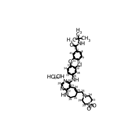 CC(C)(C)NC(=O)c1cccc(Oc2ccc(Nc3ncnc4c3C=C(CN3CCS(=O)(=O)CC3)CCN4)cc2Cl)c1.Cl.Cl